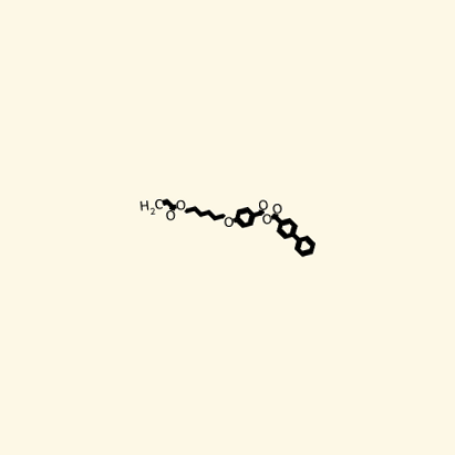 C=CC(=O)OCCCCCCOc1ccc(C(=O)OC(=O)c2ccc(-c3ccccc3)cc2)cc1